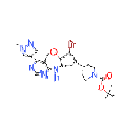 Cn1cc(-c2ncnc3c2COc2c(Br)cc(C4CCN(C(=O)OC(C)(C)C)CC4)cc2N3)cn1